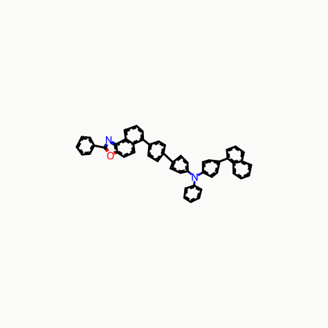 c1ccc(-c2nc3c(ccc4c(-c5ccc(-c6ccc(N(c7ccccc7)c7ccc(-c8cccc9ccccc89)cc7)cc6)cc5)cccc43)o2)cc1